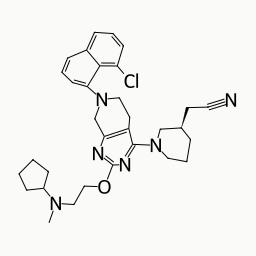 CN(CCOc1nc2c(c(N3CCC[C@H](CC#N)C3)n1)CCN(c1cccc3cccc(Cl)c13)C2)C1CCCC1